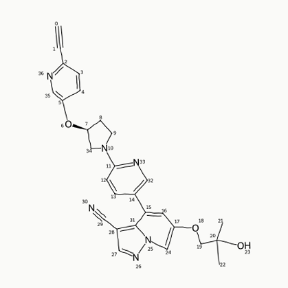 C#Cc1ccc(O[C@H]2CCN(c3ccc(-c4cc(OCC(C)(C)O)cn5ncc(C#N)c45)cn3)C2)cn1